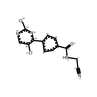 N#CCNC(=O)c1ccc(-c2nc(Cl)ncc2Cl)cc1